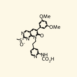 COc1cc(OC)cc(-c2cc3cnc([S+](C)[O-])nc3n(CCc3ccnc(NC(=O)O)c3)c2=O)c1